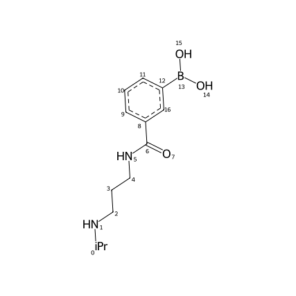 CC(C)NCCCNC(=O)c1cccc(B(O)O)c1